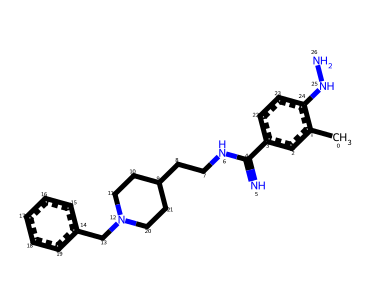 Cc1cc(C(=N)NCCC2CCN(Cc3ccccc3)CC2)ccc1NN